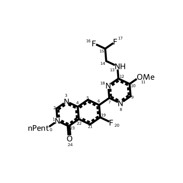 CCCCCn1cnc2cc(-c3ncc(OC)c(NCC(F)F)n3)c(F)cc2c1=O